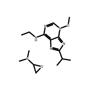 CCNc1ncn(OC)c2nc(C(C)C)nc1-2.CN(C)C1CO1